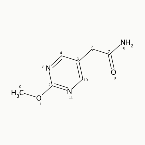 COc1ncc([CH]C(N)=O)cn1